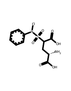 N[C@@H](CC(C(=O)O)S(=O)(=O)N(Cl)c1ccccc1)C(=O)O